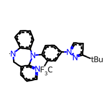 CC(C)(C)c1ccn(-c2ccc(N3c4ccccc4[N]Cc4cccnc43)c(C(F)(F)F)c2)n1